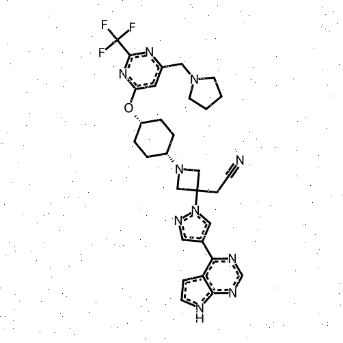 N#CCC1(n2cc(-c3ncnc4[nH]ccc34)cn2)CN([C@H]2CC[C@@H](Oc3cc(CN4CCCC4)nc(C(F)(F)F)n3)CC2)C1